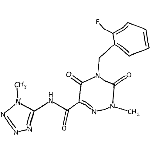 Cn1nnnc1NC(=O)c1nn(C)c(=O)n(Cc2ccccc2F)c1=O